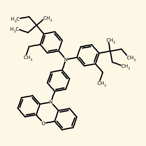 CCc1cc(N(c2ccc(N3c4ccccc4Oc4ccccc43)cc2)c2ccc(C(C)(CC)CC)c(CC)c2)ccc1C(C)(CC)CC